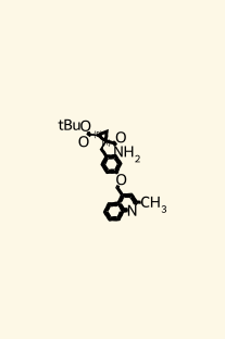 Cc1cc(COc2ccc(C[C@]3(C(N)=O)C[C@@H]3C(=O)OC(C)(C)C)cc2)c2ccccc2n1